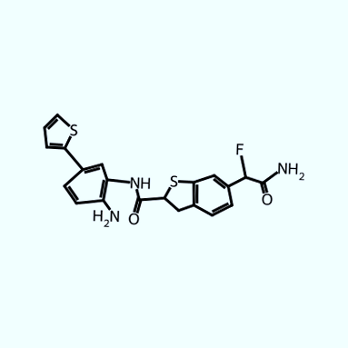 NC(=O)C(F)c1ccc2c(c1)SC(C(=O)Nc1cc(-c3cccs3)ccc1N)C2